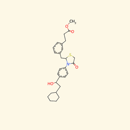 COC(=O)CCc1cccc(CC2SCC(=O)N2c2ccc(C(O)CC3CCCCC3)cc2)c1